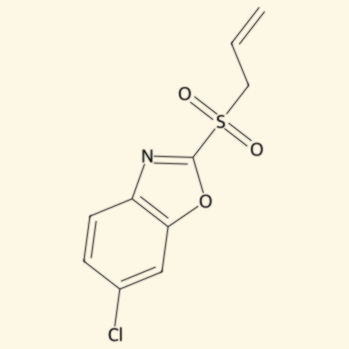 C=CCS(=O)(=O)c1nc2ccc(Cl)cc2o1